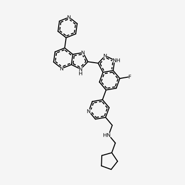 Fc1cc(-c2cncc(CNCC3CCCC3)c2)cc2c(-c3nc4c(-c5ccncc5)ccnc4[nH]3)n[nH]c12